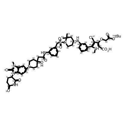 Cn1c(=O)n(C2CCC(=O)NC2=O)c2ccc(N3CCC(O)(CC(=O)Nc4cccc(CS(=O)(=O)N5CC[C@@H](Nc6cccc(C7=C(Cl)C(OCC(=O)OC(C)(C)C)=C(C(=O)O)[SH]7C)c6)CC5(C)C)c4)CC3)cc21